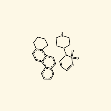 O=S1(=O)N=CC=CN1C1CCNCC1.c1ccc2c(c1)ccc1c3c(ccc12)CCCC3